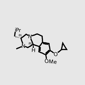 COc1cc2c(cc1OC1CC1)CCN1C[C@@H](CC(C)C)N(C)C[C@@H]21